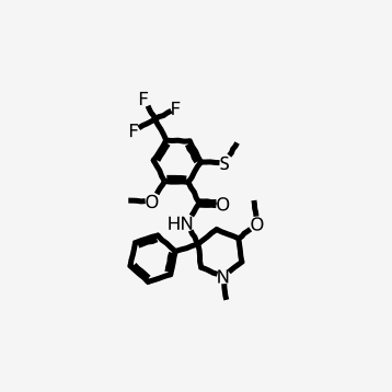 COc1cc(C(F)(F)F)cc(SC)c1C(=O)NC1(c2ccccc2)CC(OC)CN(C)C1